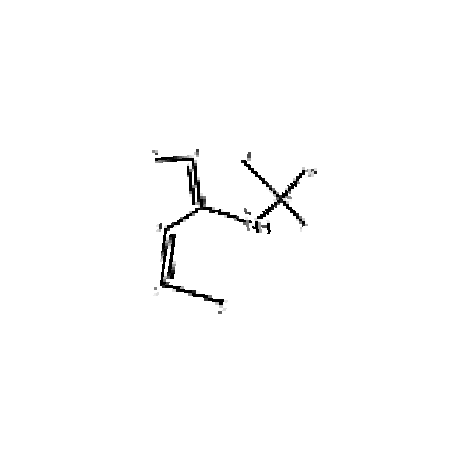 C/C=C\C(=C/C)NC(C)(C)C